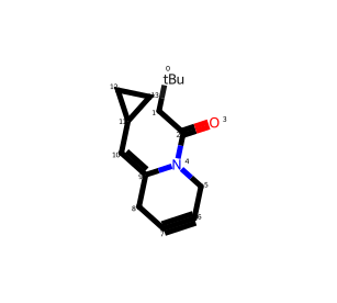 CC(C)(C)CC(=O)N1CC#CC/C1=C/C1CC1